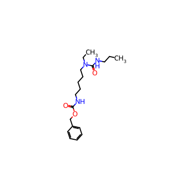 CCCNC(=O)N(CC)CCCCCNC(=O)OCc1ccccc1